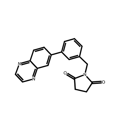 O=C1CCC(=O)N1Cc1cccc(-c2ccc3nccnc3c2)c1